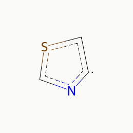 [c]1cscn1